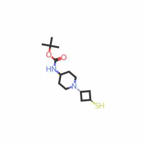 CC(C)(C)OC(=O)NC1CCN([C@H]2C[C@H](S)C2)CC1